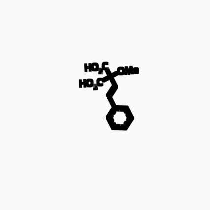 COC(C=Cc1ccccc1)(C(=O)O)C(=O)O